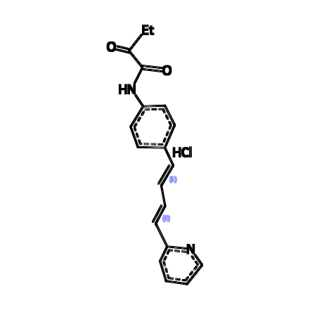 CCC(=O)C(=O)Nc1ccc(/C=C/C=C/c2ccccn2)cc1.Cl